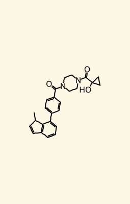 CC1C=Cc2cccc(-c3ccc(C(=O)N4CCN(C(=O)C5(O)CC5)CC4)cc3)c21